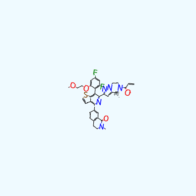 C=CC(=O)N1CCn2nc(-c3nc(-c4ccc5c(c4)C(=O)N(C)CC5)c4ccsc4c3-c3c(F)cc(F)cc3OCCOC)cc2[C@H]1C